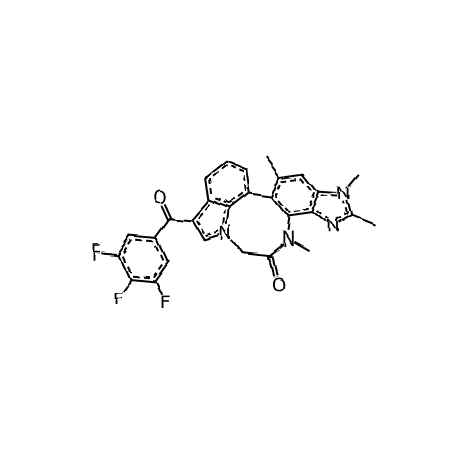 Cc1cc2c(nc(C)n2C)c2c1-c1cccc3c(C(=O)c4cc(F)c(F)c(F)c4)cn(c13)CC(=O)N2C